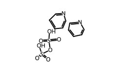 O=S(=O)(O)OS(=O)(=O)O.c1ccncc1.c1ccncc1